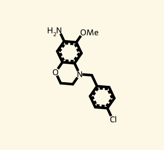 COc1cc2c(cc1N)OCCN2Cc1ccc(Cl)cc1